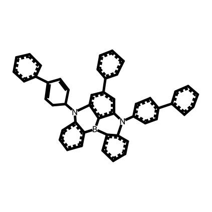 C1=CC(N2c3ccccc3B3c4ccccc4N(c4ccc(-c5ccccc5)cc4)c4cc(-c5ccccc5)cc2c43)CC=C1c1ccccc1